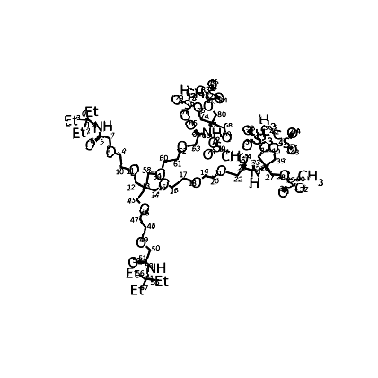 CCC(CC)(CC)NC(=O)COCCOCC(COCCOCCOCC(=O)NC(COS(C)(=O)=O)(COS(C)(=O)=O)COS(C)(=O)=O)(COCCOCC(=O)NC(CC)(CC)CC)COCCOCC(=O)NC(COS(C)(=O)=O)(COS(C)(=O)=O)COS(C)(=O)=O